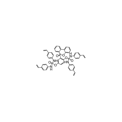 C=Cc1ccc(NP(=O)(Nc2ccc(C=C)cc2)Oc2ccc(OP(=O)(Nc3ccc(C=C)cc3)Nc3ccc(C=C)cc3)c(P3(=O)Oc4ccccc4-c4ccccc43)c2)cc1